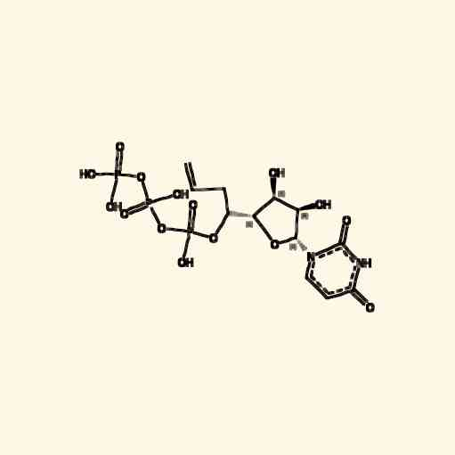 C=CCC(OP(=O)(O)OP(=O)(O)OP(=O)(O)O)[C@H]1O[C@@H](n2ccc(=O)[nH]c2=O)[C@H](O)[C@@H]1O